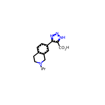 CC(C)N1CCc2ccc(-c3nn[nH]c3C(=O)O)cc2C1